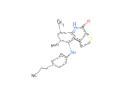 COc1cc(C)c2[nH]c(=O)c3sccc3c2c1Nc1ccc(CCC#N)cc1